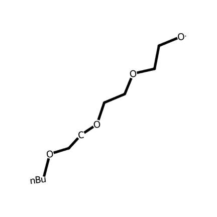 CCCCOCCOCCOCC[O]